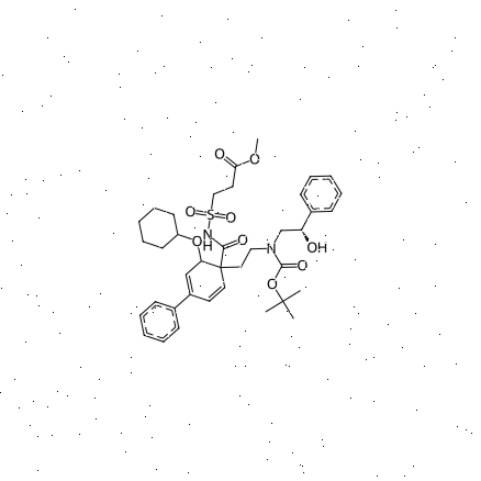 COC(=O)CCS(=O)(=O)NC(=O)C1(CCN(C[C@H](O)c2ccccc2)C(=O)OC(C)(C)C)C=CC(c2ccccc2)=CC1OC1CCCCC1